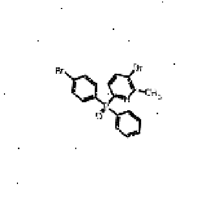 Cc1nc(P(=O)(c2ccccc2)c2ccc(Br)cc2)ccc1Br